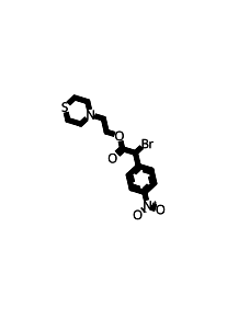 O=C(OCCN1CCSCC1)C(Br)c1ccc([N+](=O)[O-])cc1